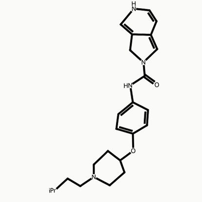 CC(C)CCN1CCC(Oc2ccc(NC(=O)N3C=C4C=CNC=C4C3)cc2)CC1